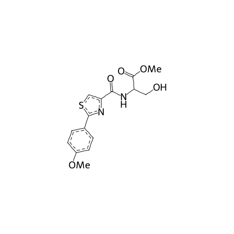 COC(=O)C(CO)NC(=O)c1csc(-c2ccc(OC)cc2)n1